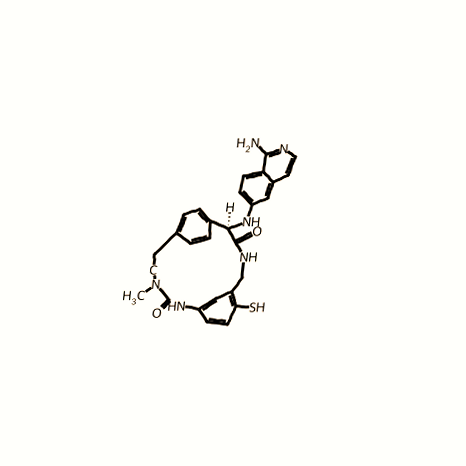 CN1CCc2ccc(cc2)[C@@H](Nc2ccc3c(N)nccc3c2)C(=O)NCc2cc(ccc2S)NC1=O